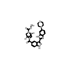 CC(C)(C)OC(=O)N1C[C@@H]2C[C@H]1CN2C(=O)c1ccc2[nH]nc(-c3nc4ccc(N5CCOCC5)cc4[nH]3)c2c1